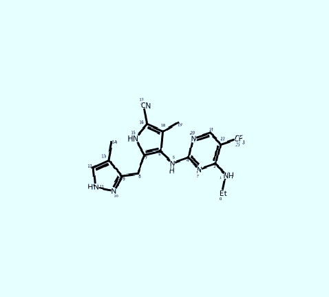 CCNc1nc(Nc2c(Cc3n[nH]cc3C)[nH]c(C#N)c2C)ncc1C(F)(F)F